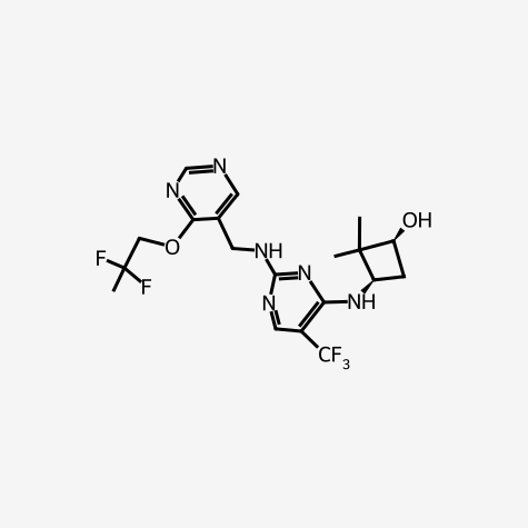 CC(F)(F)COc1ncncc1CNc1ncc(C(F)(F)F)c(N[C@@H]2C[C@H](O)C2(C)C)n1